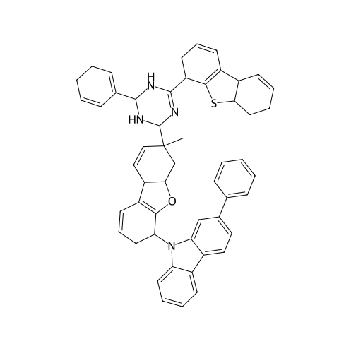 CC1(C2N=C(C3CC=CC4=C3SC3CCC=CC43)NC(C3=CCCC=C3)N2)C=CC2C3=C(OC2C1)C(n1c2ccccc2c2ccc(-c4ccccc4)cc21)CC=C3